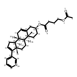 CC(=O)OCCCC(=O)O[C@H]1CC[C@@]2(C)C(=CC[C@@H]3[C@@H]2CC[C@]2(C)C(c4cccnc4)=CC[C@@H]32)C1